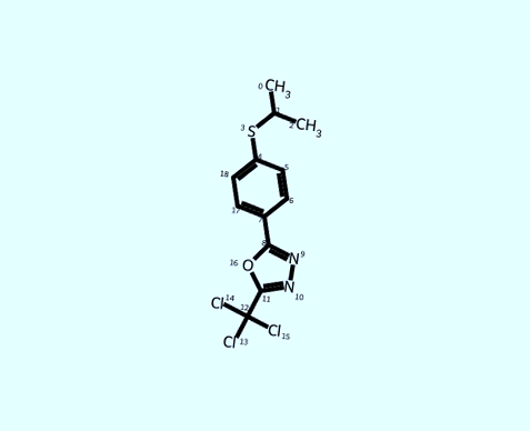 CC(C)Sc1ccc(-c2nnc(C(Cl)(Cl)Cl)o2)cc1